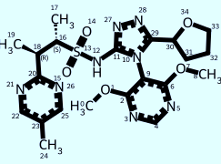 COc1ncnc(OC)c1-n1c(NS(=O)(=O)[C@@H](C)[C@H](C)c2ncc(C)cn2)nnc1C1CCCO1